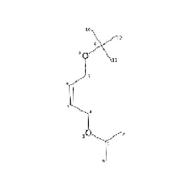 CC(C)OC/C=C\COC(C)(C)C